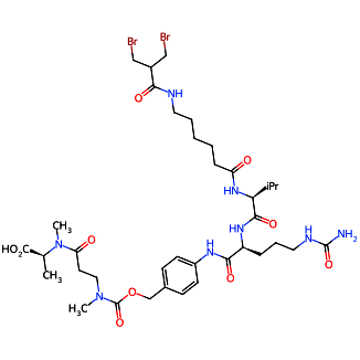 CC(C)[C@H](NC(=O)CCCCCNC(=O)C(CBr)CBr)C(=O)N[C@@H](CCCNC(N)=O)C(=O)Nc1ccc(COC(=O)N(C)CCC(=O)N(C)[C@@H](C)C(=O)O)cc1